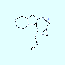 ClOCCN1C(/C=N\C2=CC2)CC2CCCCC21